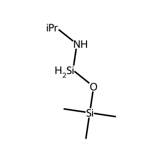 CC(C)N[SiH2]O[Si](C)(C)C